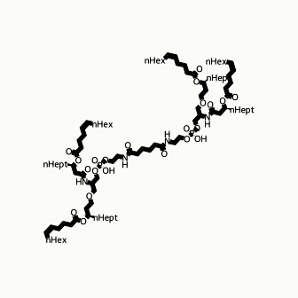 CCCCCC/C=C\CCCC(=O)O[C@H](CCCCCCC)CCOCC(COP(=O)(O)OCCNC(=O)CCCCC(=O)NCCOP(=O)(O)OCC(COCC[C@@H](CCCCCCC)OC(=O)CCC/C=C\CCCCCC)NC(=O)C[C@@H](CCCCCCC)OC(=O)CCC/C=C\CCCCCC)NC(=O)C[C@@H](CCCCCCC)OC(=O)CCC/C=C\CCCCCC